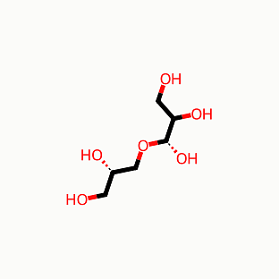 OCC(O)[C@H](O)OC[C@@H](O)CO